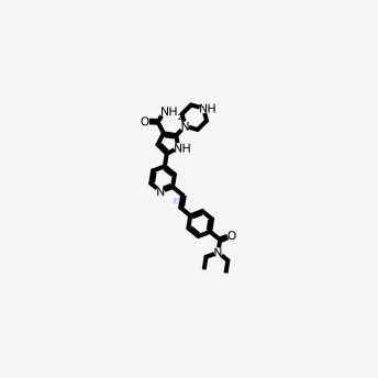 CCN(CC)C(=O)c1ccc(/C=C/c2cc(-c3cc(C(N)=O)c(N4CCNCC4)[nH]3)ccn2)cc1